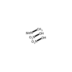 CNC.O=[N+]([O-])O.O=[N+]([O-])O